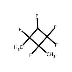 CC1(F)C(F)C(F)(F)C1(C)F